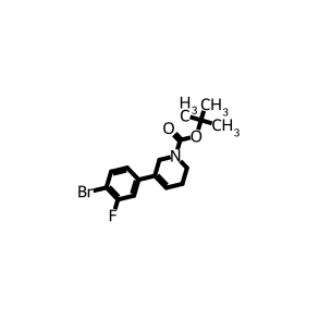 CC(C)(C)OC(=O)N1CCC=C(c2ccc(Br)c(F)c2)C1